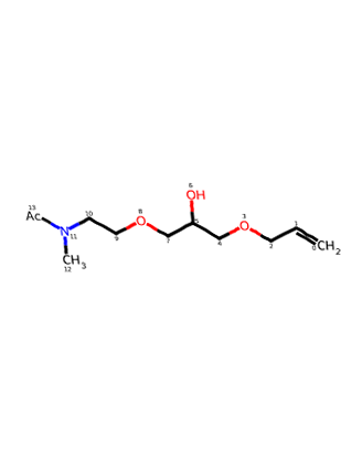 C=CCOCC(O)COCCN(C)C(C)=O